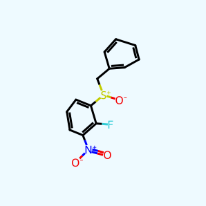 O=[N+]([O-])c1cccc([S+]([O-])Cc2ccccc2)c1F